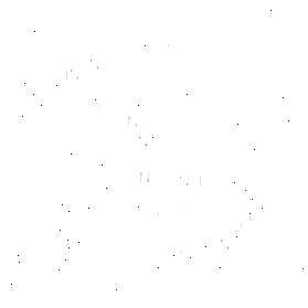 Cc1nocc1C(=O)Nc1cn2nc(-c3c[nH]nc3-c3ccc(F)cc3)ccc2n1